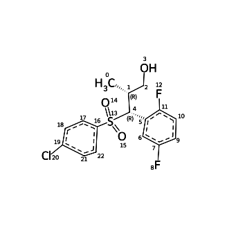 C[C@H](CO)[C@H](c1cc(F)ccc1F)S(=O)(=O)c1ccc(Cl)cc1